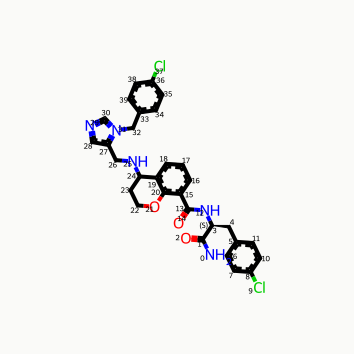 NC(=O)[C@H](Cc1ccc(Cl)cc1)NC(=O)c1cccc2c1OCCC2NCc1cncn1Cc1ccc(Cl)cc1